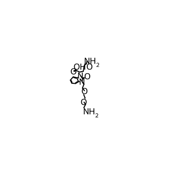 NCCOCCOCCn1c(=O)n(C(CCC(N)=O)C(=O)O)c2ccccc21